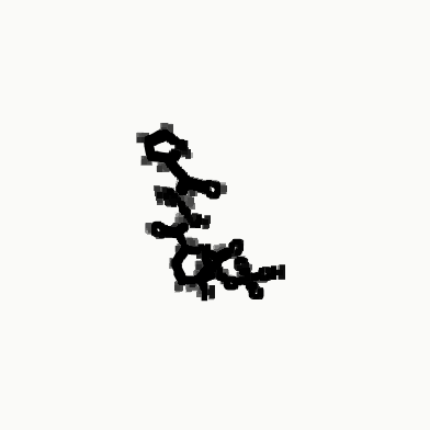 O=C(NNC(=O)[C@@H]1CC[C@@H]2CN1C(=O)N2OS(=O)(=O)O)c1cccs1